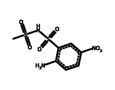 CS(=O)(=O)NS(=O)(=O)c1cc([N+](=O)[O-])ccc1N